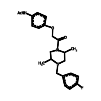 CC(=O)Nc1ccc(OCC(=O)N2CC(C)N(Cc3ccc(F)cc3)CC2C)cc1